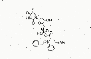 CSCC[C@@H](C(=O)OP(=O)(O)OC[C@H]1O[C@@H](n2cc(F)c(=O)[nH]c2=O)C[C@@H]1O)N(OCc1ccccc1)c1ccccc1